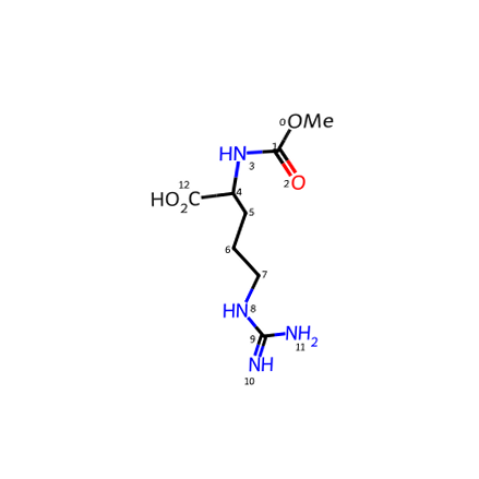 COC(=O)NC(CCCNC(=N)N)C(=O)O